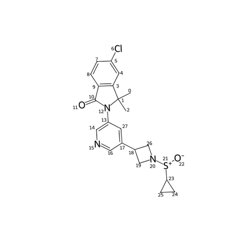 CC1(C)c2cc(Cl)ccc2C(=O)N1c1cncc(C2CN([S+]([O-])C3CC3)C2)c1